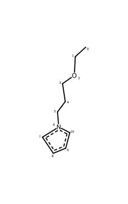 CCOCCCn1cccc1